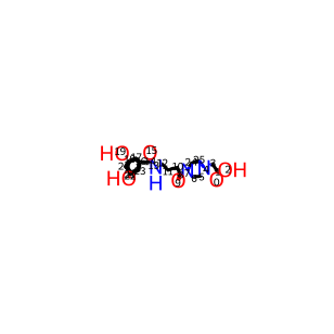 O=C(O)CN1CCN(C(=O)CCCNC(=O)c2cc(O)cc(O)c2)CC1